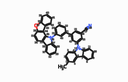 Cc1ccc2c(c1)c1ccccc1n2-c1cc(C#N)cc(-c2cccc(-n3c4ccccc4c4ccc5oc6ccccc6c5c43)c2)c1